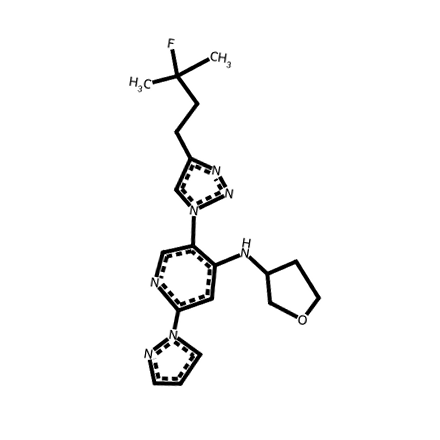 CC(C)(F)CCc1cn(-c2cnc(-n3cccn3)cc2NC2CCOC2)nn1